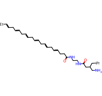 CCC=CCC=CCC=CCC=CCC=CCC=CCCC(=O)NCCNC(=O)CC(CN)CC(C)C